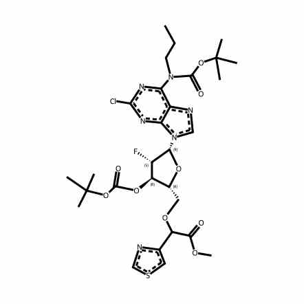 CCCN(C(=O)OC(C)(C)C)c1nc(Cl)nc2c1ncn2[C@@H]1O[C@H](COC(C(=O)OC)c2cscn2)[C@@H](OC(=O)OC(C)(C)C)[C@@H]1F